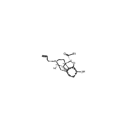 C=CCN1CC[C@]23c4c(ccc(O)c4O[C@H]2C(=O)CC)C[C@@H]1[C@H]3O